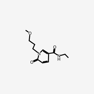 CCNC(=O)c1ccc(=O)n(CCCOC)c1